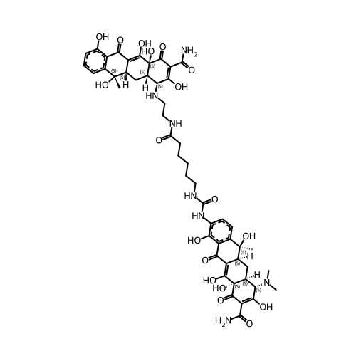 CN(C)[C@@H]1C(O)=C(C(N)=O)C(=O)[C@@]2(O)C(O)=C3C(=O)c4c(ccc(NC(=O)NCCCCCC(=O)NCCN[C@@H]5C(O)=C(C(N)=O)C(=O)[C@@]6(O)C(O)=C7C(=O)c8c(O)cccc8[C@@](C)(O)[C@H]7C[C@@H]56)c4O)[C@@](C)(O)[C@H]3C[C@@H]12